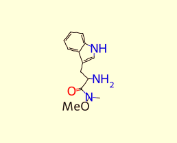 CON(C)C(=O)C(N)Cc1c[nH]c2ccccc12